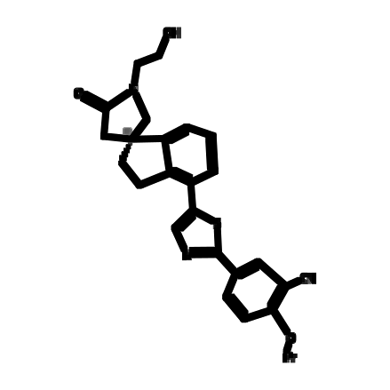 CC(C)Oc1ccc(-c2ncc(-c3cccc4c3CC[C@@]43CC(=O)N(CCO)C3)s2)cc1C#N